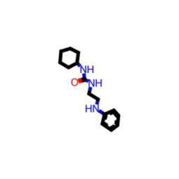 O=C(NCCNc1ccccc1)NC1CCCCC1